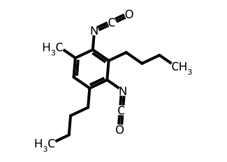 CCCCc1cc(C)c(N=C=O)c(CCCC)c1N=C=O